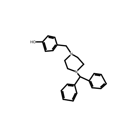 Oc1ccc(CN2CCN(C(c3ccccc3)c3ccccc3)CC2)cc1